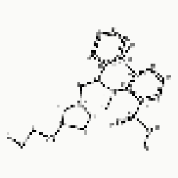 COCOC1CCN(CC(c2ccccc2)N(C)c2c(OC)cccc2C(=O)OC)C1